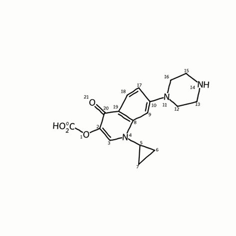 O=C(O)Oc1cn(C2CC2)c2cc(N3CCNCC3)ccc2c1=O